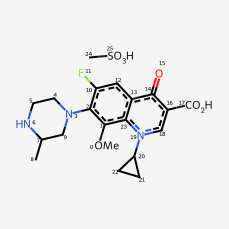 COc1c(N2CCNC(C)C2)c(F)cc2c(=O)c(C(=O)O)cn(C3CC3)c12.CS(=O)(=O)O